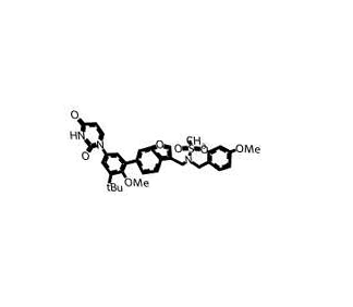 COc1ccc(CN(Cc2coc3cc(-c4cc(-n5ccc(=O)[nH]c5=O)cc(C(C)(C)C)c4OC)ccc23)S(C)(=O)=O)cc1